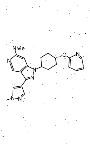 CNc1cc2c(cn1)c(-c1cnn(C)c1)nn2C1CCC(Oc2ccccn2)CC1